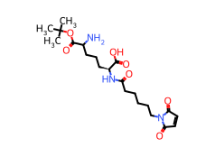 CC(C)(C)OC(=O)C(N)CCC[C@H](NC(=O)CCCCCN1C(=O)C=CC1=O)C(=O)O